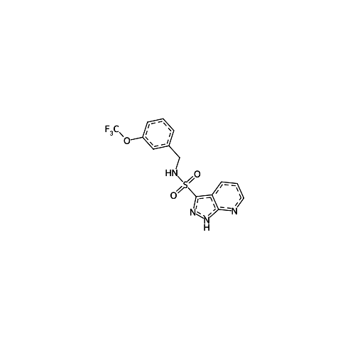 O=S(=O)(NCc1cccc(OC(F)(F)F)c1)c1n[nH]c2ncccc12